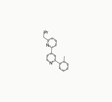 Cc1ccccc1-c1cc(-c2cccc(CC(C)C)n2)ccn1